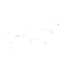 CN1CCC1C(=O)Nc1cc(C(C)(C)C)on1